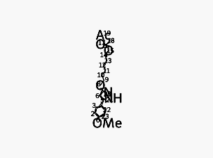 COc1ccc(-c2cc(OCCCCCCOC(=O)CC(C)=O)n[nH]2)cc1